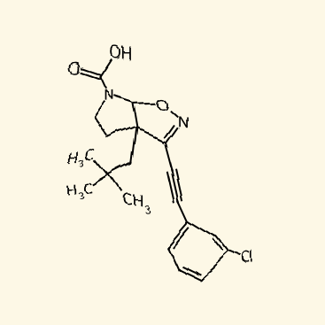 CC(C)(C)CC12CCN(C(=O)O)C1ON=C2C#Cc1cccc(Cl)c1